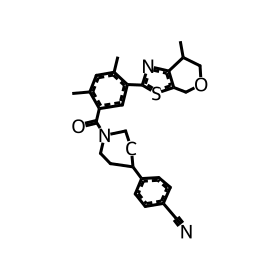 Cc1cc(C)c(-c2nc3c(s2)COCC3C)cc1C(=O)N1CCC(c2ccc(C#N)cc2)CC1